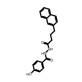 O=C(CCCc1ccc2ccccc2c1)NNC(=O)c1ccc(O)cc1